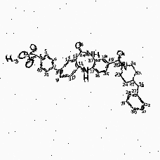 CS(=O)(=O)c1ccc(-c2ccc3c(c2)C(=O)Nc2cc(C(=O)N4CCC(Cc5ccccc5)CC4)ccc2N3)cc1